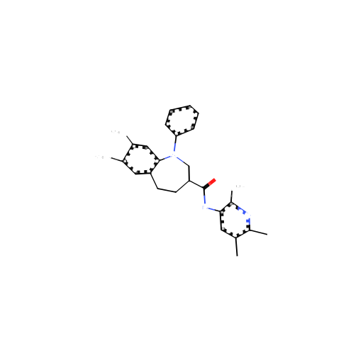 COc1cc2c(cc1OC)N(c1ccccc1)CC(C(=O)Nc1cc(C)c(C)nc1OC)CC2